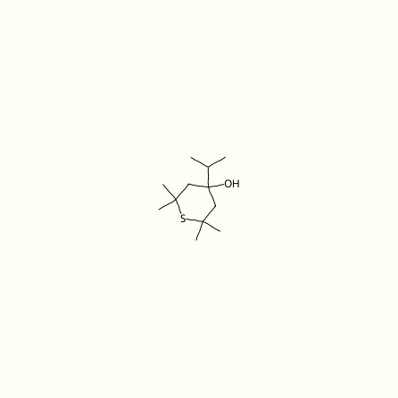 CC(C)C1(O)CC(C)(C)SC(C)(C)C1